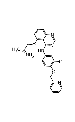 C[C@@H](N)COc1cccc2ncnc(Nc3ccc(OCc4ccccn4)c(Cl)c3)c12